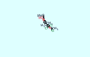 COC[C@H](O)COc1ccc(C(C)(C)c2cc(Cl)c(OC[C@@H](C)CCl)c(Cl)c2)cc1